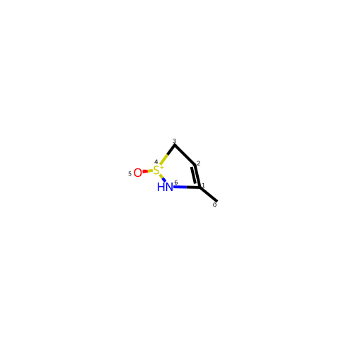 CC1=CC[S+]([O-])N1